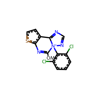 COC1=Nc2sccc2C2=NC=N[N+]12c1c(Cl)cccc1Cl